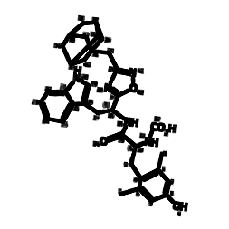 Cc1cc(O)cc(C)c1C[C@H](NC(=O)O)C(=O)N[C@@H](Cc1c[nH]c2ccccc12)c1nc(CC23CC4CC(CC(C4)C2)C3)no1